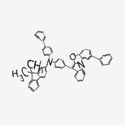 CC1(C)c2ccccc2-c2ccc(N(c3ccc(-c4ccccc4)cc3)c3ccc(-c4c5ccccc5n5c4oc4ccc(-c6ccccc6)cc45)cc3)cc21